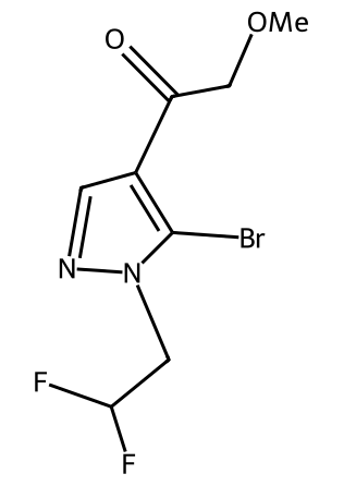 COCC(=O)c1cnn(CC(F)F)c1Br